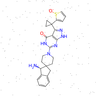 N[C@@H]1c2ccccc2CC12CCN(c1nc3[nH]nc(C4(c5ccc[s+]5[O-])CC4)c3c(=O)[nH]1)CC2